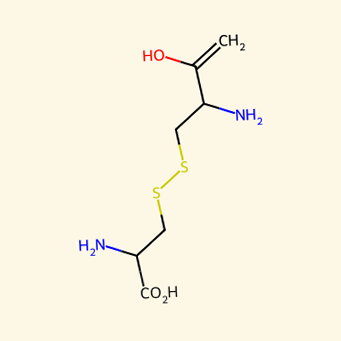 C=C(O)C(N)CSSCC(N)C(=O)O